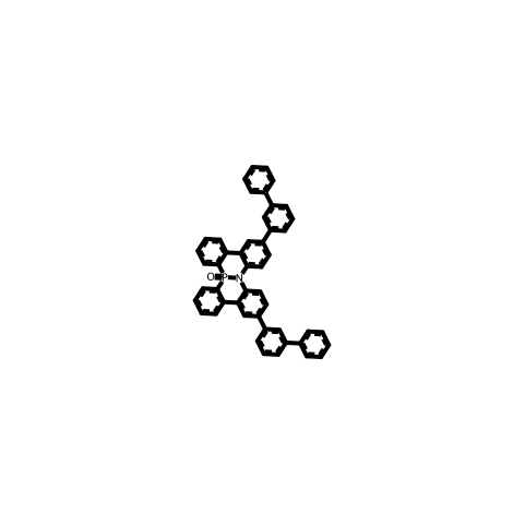 O=P12c3ccccc3-c3cc(-c4cccc(-c5ccccc5)c4)ccc3N1c1ccc(-c3cccc(-c4ccccc4)c3)cc1-c1ccccc12